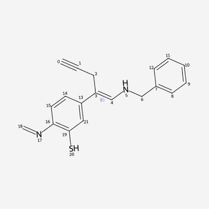 C#CC/C(=C\NCc1ccccc1)c1ccc(N=C)c(S)c1